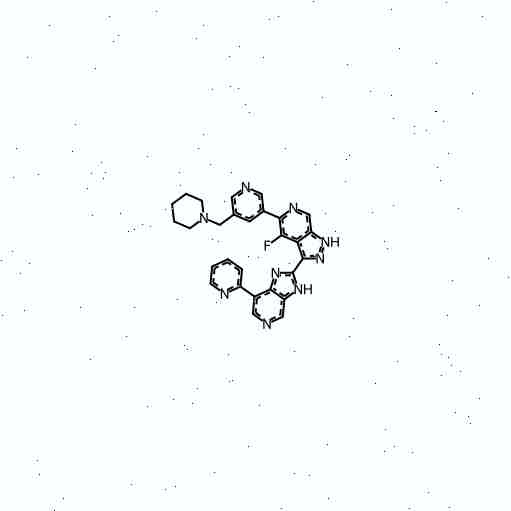 Fc1c(-c2cncc(CN3CCCCC3)c2)ncc2[nH]nc(-c3nc4c(-c5ccccn5)cncc4[nH]3)c12